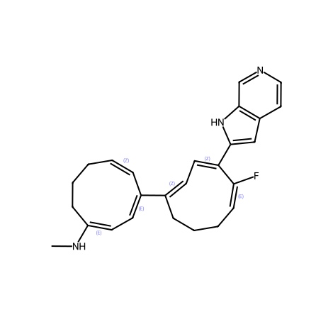 CN/C1=C/C=C(/C2=C\C=C(c3cc4ccncc4[nH]3)/C(F)=C\CCC2)\C=C/CCC1